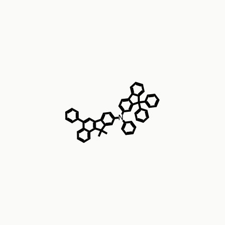 CC1(C)c2cc(N(c3ccccc3)c3ccc4c(c3)C(c3ccccc3)(c3ccccc3)c3ccccc3-4)ccc2-c2cc(-c3ccccc3)c3ccccc3c21